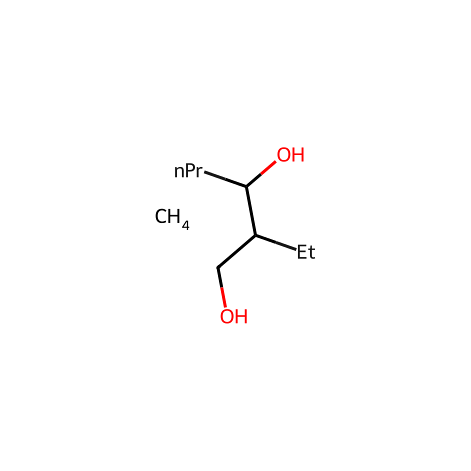 C.CCCC(O)C(CC)CO